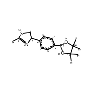 CC1=NC(c2ccc(B3OC(C)(C)C(C)(C)O3)cc2)CS1